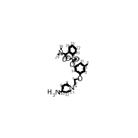 Cc1cc(OCC[n+]2ccc(N)cc2)cc(OS(=O)(=O)c2ccccc2C(=O)N(C)C)c1